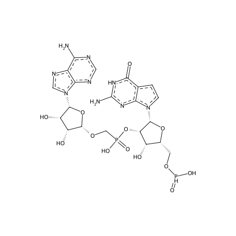 Nc1nc2c(ccn2[C@@H]2O[C@H](CO[PH](=O)O)[C@H](O)[C@@H]2OP(=O)(O)CO[C@H]2O[C@@H](n3cnc4c(N)ncnc43)[C@@H](O)[C@H]2O)c(=O)[nH]1